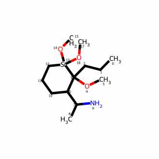 CCCC1(OC)C(C(C)N)CCC[Si]1(OC)OC